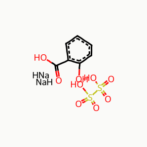 O=C(O)c1ccccc1O.O=S(=O)(O)S(=O)(=O)O.[NaH].[NaH]